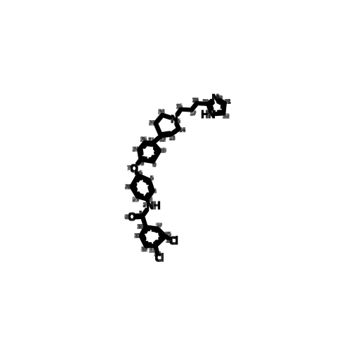 O=C(Nc1ccc(Oc2ccc(C3=CCN(CCCc4ncc[nH]4)CC3)cc2)cc1)c1ccc(Cl)c(Cl)c1